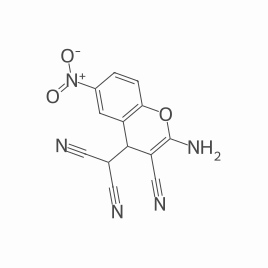 N#CC1=C(N)Oc2ccc([N+](=O)[O-])cc2C1C(C#N)C#N